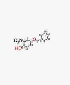 O=[N+]([O-])c1cc(OCc2ccccc2)ccc1O